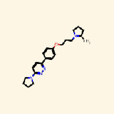 C[C@@H]1CCCN1CCCOc1ccc(-c2ccc(N3CCCC3)nn2)cc1